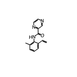 C=Cc1cccc(C)c1NC(=O)c1cnccn1